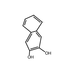 Oc1cc2[c]cccc2cc1O